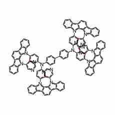 c1ccc2c(c1)c1ccc3c4ccccc4n(-c4cncnc4)c3c1n2-c1ccc(N(c2ccc(-c3ccc(N(c4ccc(-n5c6ccccc6c6ccc7c8ccccc8n(-c8cncnc8)c7c65)cc4)c4ccc(-n5c6ccccc6c6ccc7c8ccccc8n(-c8cncnc8)c7c65)cc4)cc3)cc2)c2ccc(-n3c4ccccc4c4ccc5c6ccccc6n(-c6cncnc6)c5c43)cc2)cc1